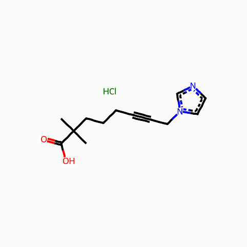 CC(C)(CCCC#CCn1ccnc1)C(=O)O.Cl